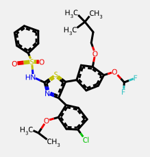 CC(C)Oc1cc(Cl)ccc1-c1nc(NS(=O)(=O)c2ccccc2)sc1-c1ccc(OC(F)F)c(OCCC(C)(C)C)c1